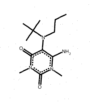 CCCN(c1c(N)n(C)c(=O)n(C)c1=O)C(C)(C)C